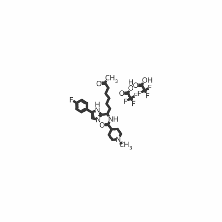 CC(=O)CCCCCC(NC(=O)C1CCN(C)CC1)c1ncc(-c2ccc(F)cc2)[nH]1.O=C(O)C(F)(F)F.O=C(O)C(F)(F)F